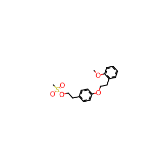 COc1ccccc1CCOc1ccc(CCOS(C)(=O)=O)cc1